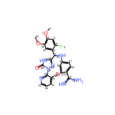 COc1cc(F)c(C(Nc2ccc(C(=N)N)cc2)c2nn(-c3ncccc3Br)c(=O)[nH]2)cc1OC